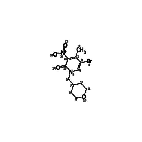 Cc1c(Br)cn(CC2CCOCC2)c(=O)c1[N+](=O)[O-]